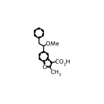 COC(Cc1ccccc1)c1ccc2oc(C)c(C(=O)O)c2c1